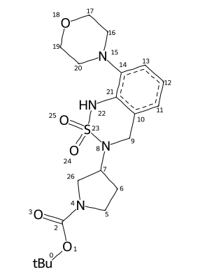 CC(C)(C)OC(=O)N1CCC(N2Cc3cccc(N4CCOCC4)c3NS2(=O)=O)C1